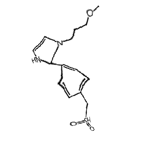 COCCCN1C=CNC1c1ccc(C[SH](=O)=O)cc1